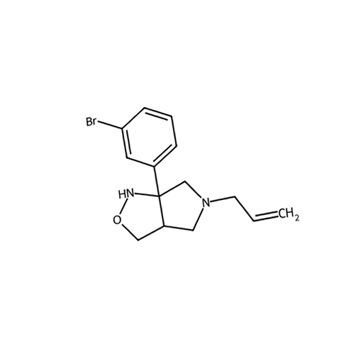 C=CCN1CC2CONC2(c2cccc(Br)c2)C1